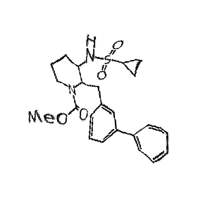 COC(=O)N1CCCC(NS(=O)(=O)C2CC2)C1Cc1cccc(-c2ccccc2)c1